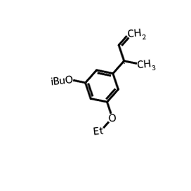 C=C[C](C)c1cc(OCC)cc(OCC(C)C)c1